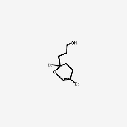 CCC1=COC(CC)(CCCO)CC1